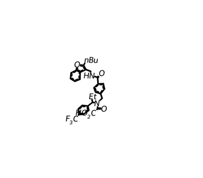 CCCCc1oc2ccccc2c1CNC(=O)c1ccc(CN(C(=O)C(=O)O)C(CC)c2ccc(C(F)(F)F)cc2)cc1